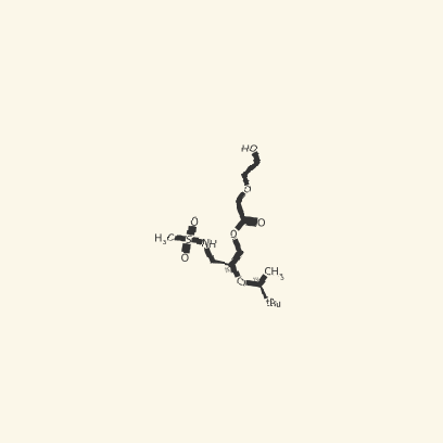 C[C@H](O[C@@H](CNS(C)(=O)=O)COC(=O)COCCO)C(C)(C)C